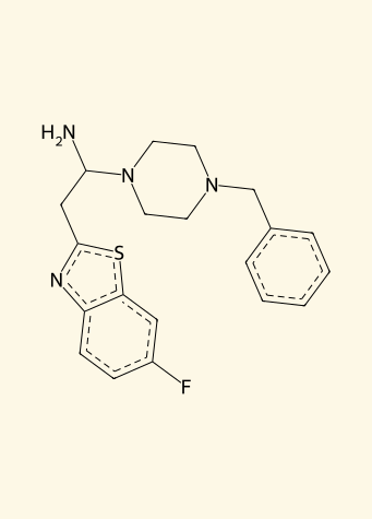 NC(Cc1nc2ccc(F)cc2s1)N1CCN(Cc2ccccc2)CC1